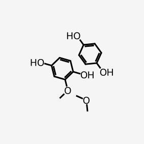 COC.COc1cc(O)ccc1O.Oc1ccc(O)cc1